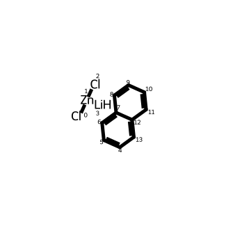 [Cl][Zn][Cl].[LiH].c1ccc2ccccc2c1